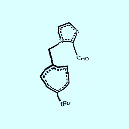 CC(C)(C)c1ccc(Cn2[c]cnc2C=O)cc1